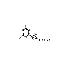 Cc1cccc(C23CC(C(=O)O)(C2)C3)c1